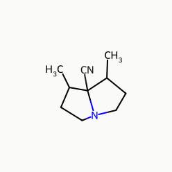 CC1CCN2CCC(C)C12C#N